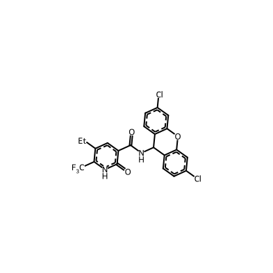 CCc1cc(C(=O)NC2c3ccc(Cl)cc3Oc3cc(Cl)ccc32)c(=O)[nH]c1C(F)(F)F